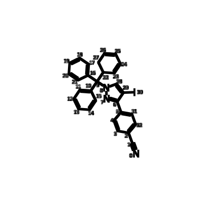 N#Cc1ccc(-c2nn(C(c3ccccc3)(c3ccccc3)C3C=CC=CC3)cc2I)cc1